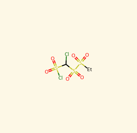 CCS(=O)(=O)S(=O)(=O)C(Cl)S(=O)(=O)Cl